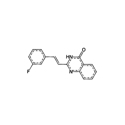 O=c1[nH]c(/C=C/c2cccc(F)c2)nc2ccccc12